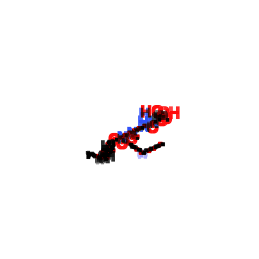 CCCCCCCC/C=C\CCCCCCCC(=O)N(CCCN(CCCCNCCC(=O)NCC1OC(OC)[C@@H](O)[C@@H](O)[C@H]1C)C(=O)CC)CCOC1CC[C@@]2(C)C(=CC[C@H]3[C@@H]4CC[C@H]([C@H](C)CCCC(C)C)[C@@]4(C)CC[C@@H]32)C1